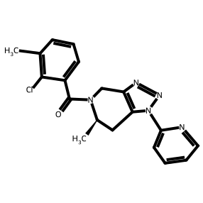 Cc1cccc(C(=O)N2Cc3nnn(-c4ccccn4)c3C[C@H]2C)c1Cl